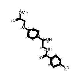 COC(=O)COc1ccc(C(O)CNC(=O)c2ccc(C#N)cc2)cc1